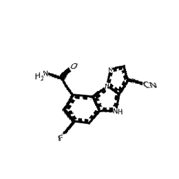 N#Cc1cnn2c1[nH]c1cc(F)cc(C(N)=O)c12